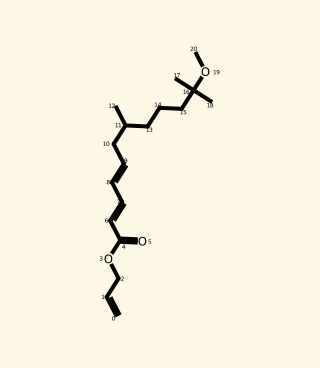 C=CCOC(=O)C=CC=CCC(C)CCCC(C)(C)OC